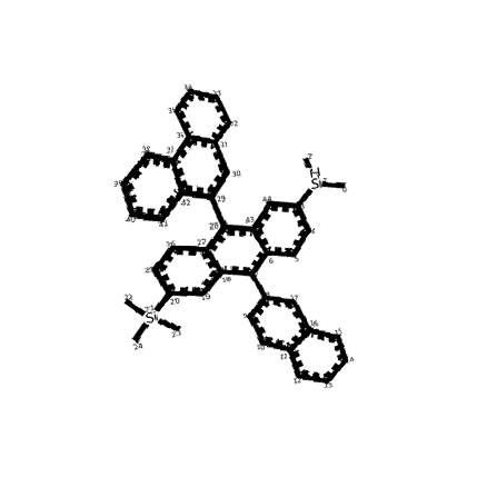 C[SiH](C)c1ccc2c(-c3ccc4ccccc4c3)c3cc([Si](C)(C)C)ccc3c(-c3cc4ccccc4c4ccccc34)c2c1